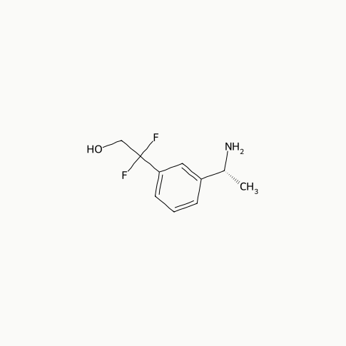 C[C@@H](N)c1cccc(C(F)(F)CO)c1